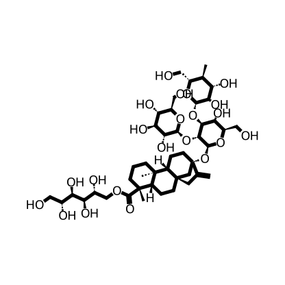 C=C1C[C@@]23CC[C@H]4[C@@](C)(CCC[C@@]4(C)C(=O)OC[C@@H](O)[C@@H](O)[C@H](O)[C@H](O)CO)[C@@H]2CC[C@]1(O[C@@H]1O[C@H](CO)[C@@H](O)[C@H](O[C@@H]2O[C@H](CO)[C@@H](C)[C@H](O)[C@H]2O)[C@H]1O[C@@H]1O[C@H](CO)[C@@H](O)[C@H](O)[C@H]1O)C3